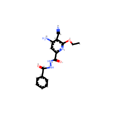 CCOc1nc(C(=O)NNC(=O)c2ccccc2)cc(N)c1C#N